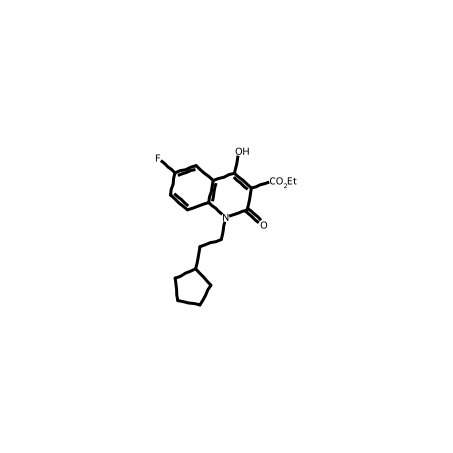 CCOC(=O)c1c(O)c2cc(F)ccc2n(CCC2CCCC2)c1=O